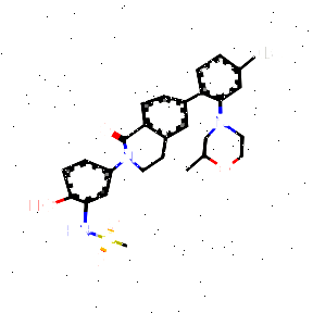 CC1CN(c2cc(C(C)(C)C)ccc2-c2ccc3c(c2)CCN(c2ccc(O)c(NS(C)(=O)=O)c2)C3=O)CCO1